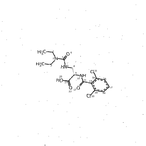 CCN(CC)C(=O)NC[C@H](NC(=O)c1c(Cl)cccc1Cl)C(=O)O